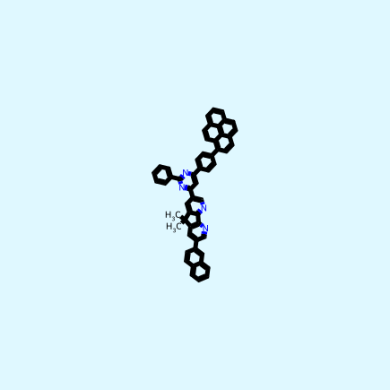 CC1(C)c2cc(-c3ccc4ccccc4c3)cnc2-c2ncc(-c3cc(-c4ccc(-c5ccc6ccc7cccc8ccc5c6c78)cc4)nc(-c4ccccc4)n3)cc21